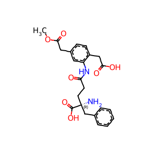 COC(=O)Cc1ccc(CC(=O)O)c(NC(=O)CC[C@@](N)(Cc2ccccc2)C(=O)O)c1